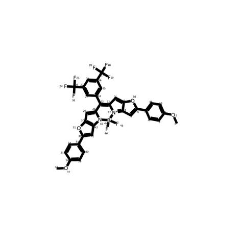 COc1ccc(-c2cc3c(o2)=CC2=C(c4cc(C(F)(F)F)cc(C(F)(F)F)c4)c4cc5oc(-c6ccc(OC)cc6)cc5n4[B-](F)(F)[N+]=32)cc1